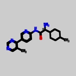 Cc1cncnc1-c1ccc(NC(=O)[C@@H](N)C2CCC(C)CC2)nc1